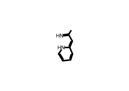 CC(=N)/C=C1/C=CC=CN1